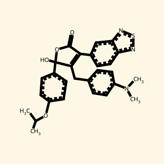 CC(C)Oc1ccc(C2(O)OC(=O)C(c3ccc4nsnc4c3)=C2Cc2ccc(N(C)C)cc2)cc1